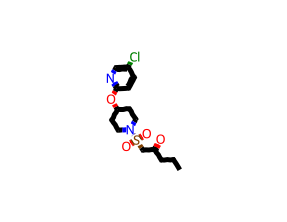 CCCC(=O)CS(=O)(=O)N1CCC(Oc2ccc(Cl)cn2)CC1